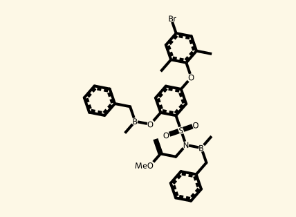 C=C(CN(B(C)Cc1ccccc1)S(=O)(=O)c1cc(Oc2c(C)cc(Br)cc2C)ccc1OB(C)Cc1ccccc1)OC